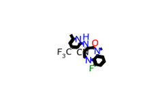 Cc1cc(C(F)(F)F)c(C#N)c(N[C@H]2CC=Nc3c(F)cccc3N(C)C2=O)n1